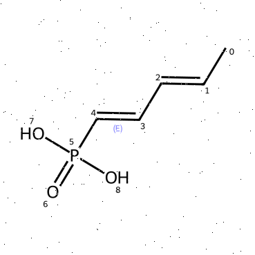 CC=C/C=C/P(=O)(O)O